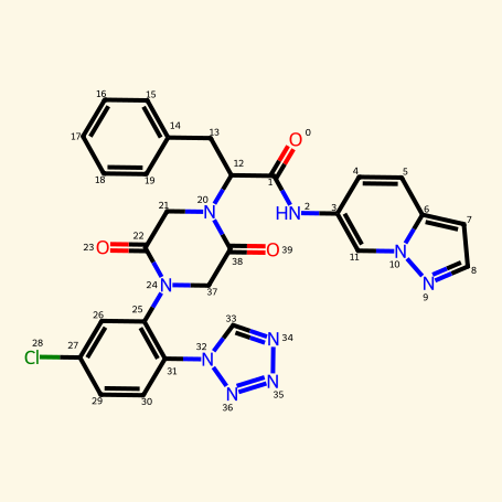 O=C(Nc1ccc2ccnn2c1)C(Cc1ccccc1)N1CC(=O)N(c2cc(Cl)ccc2-n2cnnn2)CC1=O